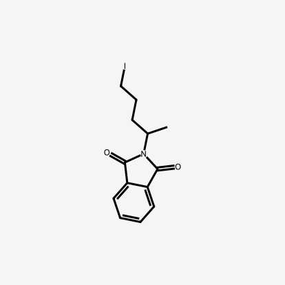 CC(CCCI)N1C(=O)c2ccccc2C1=O